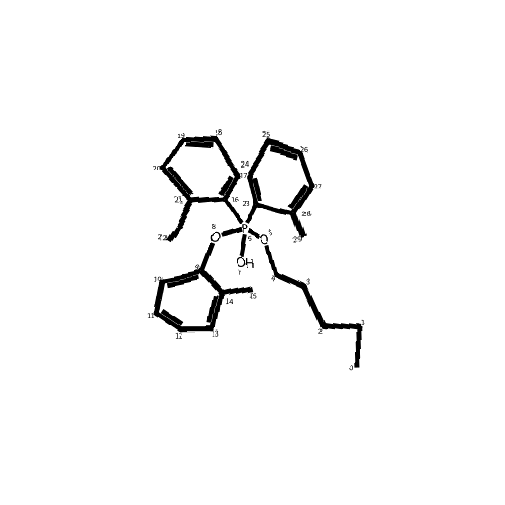 CCCCCOP(O)(Oc1ccccc1C)(c1ccccc1C)c1ccccc1C